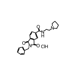 Cl.O=C(NCCN1CCCC1)c1ccc2c(c1)C(=O)N(Cc1ccccc1)C2=O